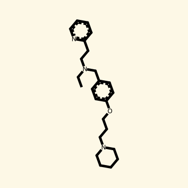 CCN(CCc1ccccn1)Cc1ccc(OCCCN2CCCCC2)cc1